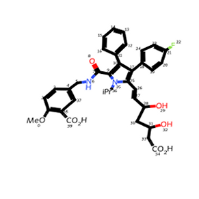 COc1ccc(CNC(=O)c2c(-c3ccccc3)c(-c3ccc(F)cc3)c(/C=C/C(O)CC(O)CC(=O)O)n2C(C)C)cc1C(=O)O